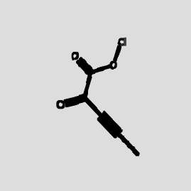 CC#CC(=O)C(=O)OCl